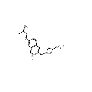 CC(COc1ccc2c(c1)C[C@@H](C)C(CN1CC(C(=O)O)C1)=C2)C(F)(F)F